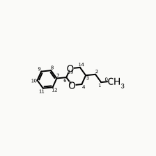 CCCC1COC(c2ccccc2)OC1